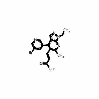 CCn1ncc2c(-c3cncc(Br)c3)c(C=CC(=O)O)c(C)nc21